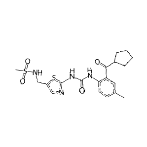 Cc1ccc(NC(=O)Nc2ncc(CNS(C)(=O)=O)s2)c(C(=O)C2CCCC2)c1